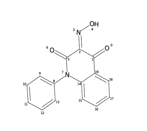 O=C1C(=NO)C(=O)N(c2ccccc2)c2ccccc21